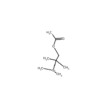 CC(=O)OCC(C)(C)[Si](C)C